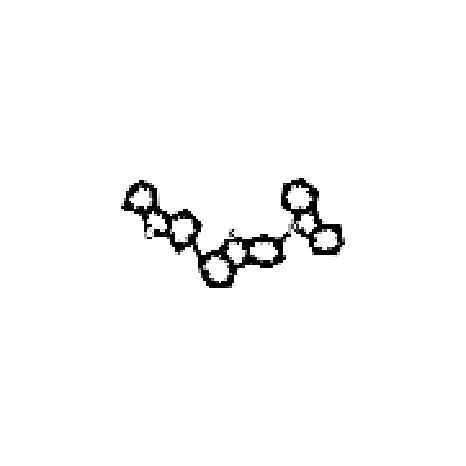 c1ccc2c(c1)oc1cc(-c3cccc4c3sc3cc(-n5c6ccccc6c6ccccc65)ccc34)ccc12